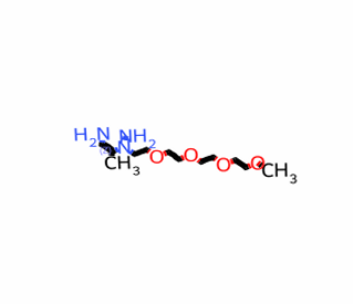 COCCOCCOCCOCCN(N)/C(C)=C\N